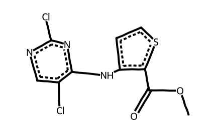 COC(=O)c1sccc1Nc1nc(Cl)ncc1Cl